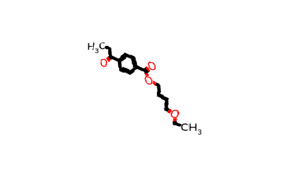 CCOCCCCOC(=O)c1ccc(C(=O)CC)cc1